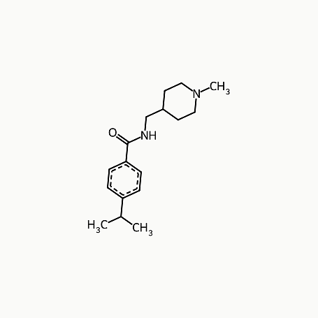 CC(C)c1ccc(C(=O)NCC2CCN(C)CC2)cc1